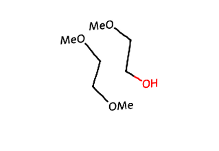 COCCO.COCCOC